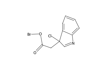 O=C(CC1(Cl)C=Nc2ccccc21)OBr